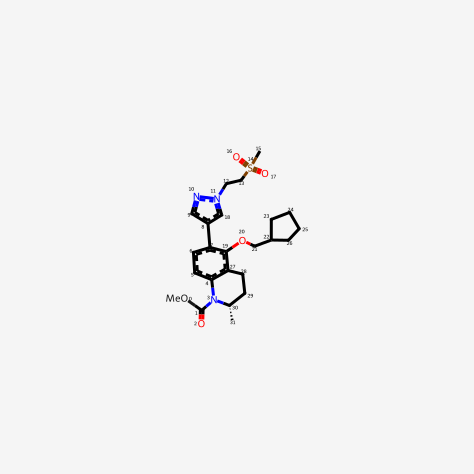 COC(=O)N1c2ccc(-c3cnn(CCS(C)(=O)=O)c3)c(OCC3CCCC3)c2CC[C@@H]1C